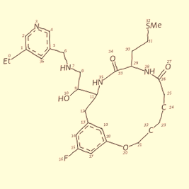 CCc1cncc(CNCC(O)C2Cc3cc(F)cc(c3)OCCCCCC(=O)NC(CCSC)C(=O)N2)c1